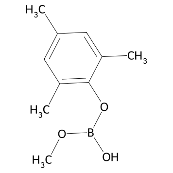 COB(O)Oc1c(C)cc(C)cc1C